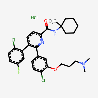 CN(C)CCCOc1cc(-c2nc(C(=O)NC3(C(=O)O)CCCCC3)ccc2-c2cc(F)ccc2Cl)ccc1Cl.Cl